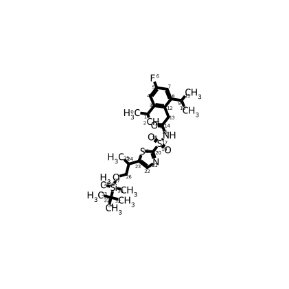 CC(C)c1cc(F)cc(C(C)C)c1CC(=O)NS(=O)(=O)c1ncc(C(C)CO[Si](C)(C)C(C)(C)C)s1